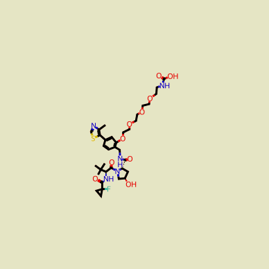 Cc1ncsc1-c1ccc(CNC(=O)[C@@H]2C[C@@H](O)CN2C(=O)[C@@H](NC(=O)C2(F)CC2)C(C)(C)C)c(OCCOCCOCCOCCNC(=O)O)c1